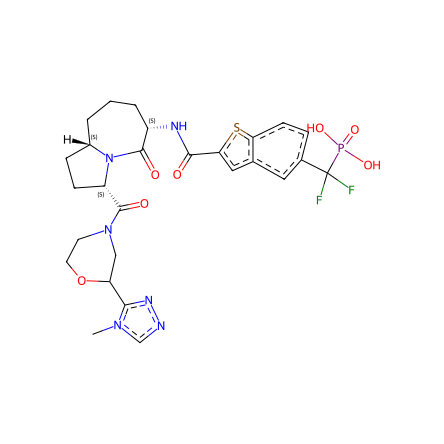 Cn1cnnc1C1CN(C(=O)[C@@H]2CC[C@@H]3CCC[C@H](NC(=O)c4cc5cc(C(F)(F)P(=O)(O)O)ccc5s4)C(=O)N32)CCO1